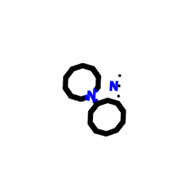 C1CCCCC(N2CCCCCCCCC2)CCCC1.[N]